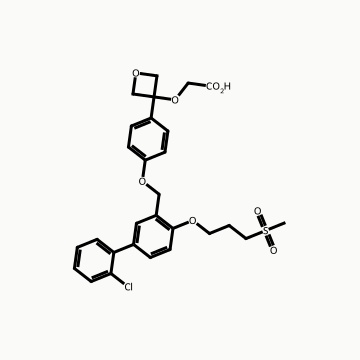 CS(=O)(=O)CCCOc1ccc(-c2ccccc2Cl)cc1COc1ccc(C2(OCC(=O)O)COC2)cc1